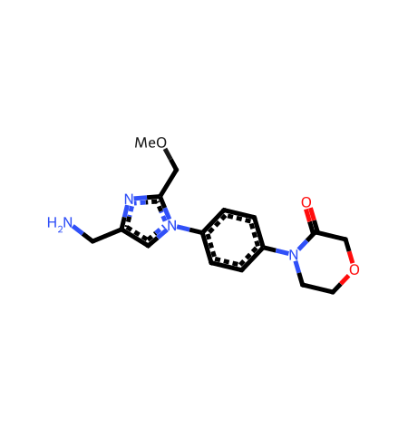 COCc1nc(CN)cn1-c1ccc(N2CCOCC2=O)cc1